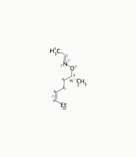 C/C=N/O[C@H](C)CC/C=C\CC